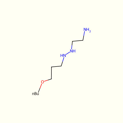 CCCCOCCCNNCCN